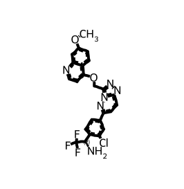 COc1ccc2c(OCc3nnc4ccc(-c5ccc([C@@H](N)C(F)(F)F)c(Cl)c5)nn34)ccnc2c1